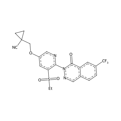 CCS(=O)(=O)c1cc(OCC2(C#N)CC2)cnc1-n1ncc2ccc(C(F)(F)F)cc2c1=O